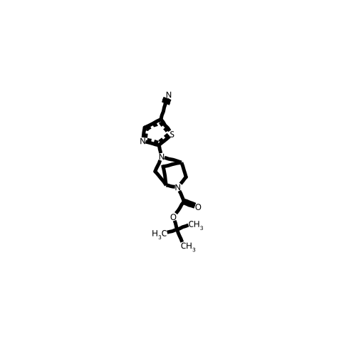 CC(C)(C)OC(=O)N1CC2CC1CN2c1ncc(C#N)s1